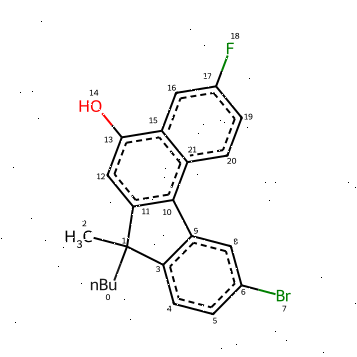 CCCCC1(C)c2ccc(Br)cc2-c2c1cc(O)c1cc(F)ccc21